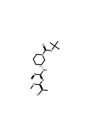 C=N/C(=N\C(OC)=C(/C)Cl)N[C@@H]1CCCN(C(=O)OC(C)(C)C)C1